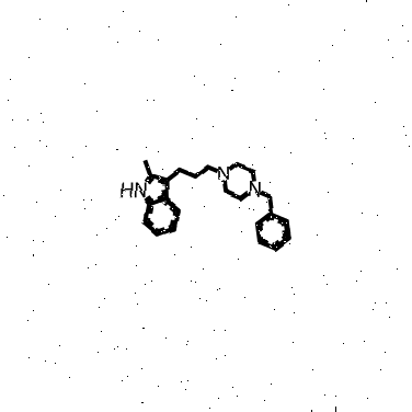 Cc1[nH]c2ccccc2c1CCCN1CCN(Cc2ccccc2)CC1